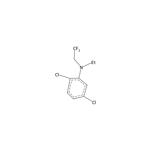 CCN(CC(F)(F)F)c1cc(Cl)ccc1Cl